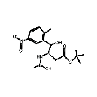 CB(O)N[C@H](CC(=O)OC(C)(C)C)C(O)c1cc([N+](=O)[O-])ccc1C